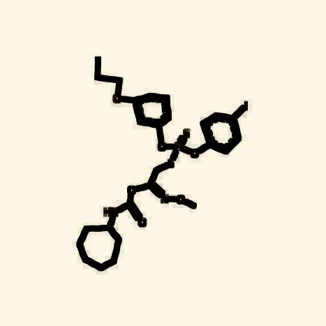 CCCOc1cccc(OP(=S)(Oc2ccc(I)cc2)SCC(=NOC)OC(=O)NC2CCCCCC2)c1